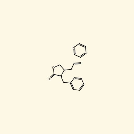 C=CCC1COC(=O)N1Cc1ccccc1.c1ccncc1